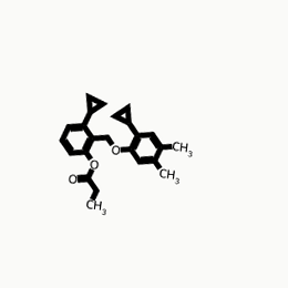 CCC(=O)Oc1cccc(C2CC2)c1COc1cc(C)c(C)cc1C1CC1